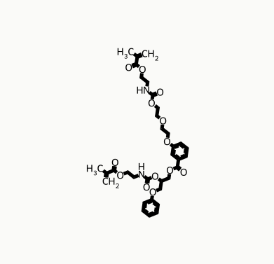 C=C(C)C(=O)OCCNC(=O)OCCOCCOc1cccc(C(=O)OCC(COc2ccccc2)OC(=O)NCCOC(=O)C(=C)C)c1